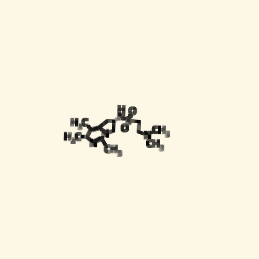 CC1=N[C@@H](C)C(C)=C2C[C@H](NS(=O)(=O)CCN(C)C)CN12